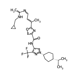 C=C(/N=C\C=C(/C)c1nc(C(=O)Nc2cn([C@H]3CC[C@@H](C(C)C)CC3)nc2C(F)(F)F)co1)NCC1CC1